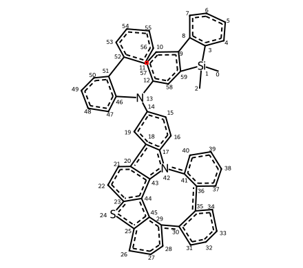 C[Si]1(C)c2ccccc2-c2ccc(N(c3ccc4c(c3)c3ccc5sc6cccc7c8ccccc8c8ccccc8n4c3c5c67)c3ccccc3-c3ccccc3)cc21